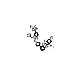 COC(=O)c1ccc2nc(CN3CCC(c4cccc5c4OC[C@@](C)(c4ccc(Cl)cc4F)O5)CC3)n(C[C@@H]3CCO3)c2c1